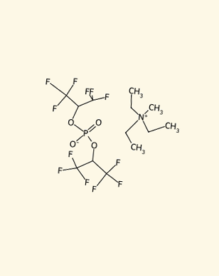 CC[N+](C)(CC)CC.O=P([O-])(OC(C(F)(F)F)C(F)(F)F)OC(C(F)(F)F)C(F)(F)F